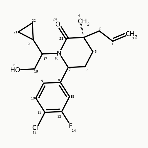 C=CC[C@@]1(C)CCC(c2ccc(Cl)c(F)c2)N(C(CO)C2CC2)C1=O